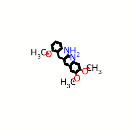 COc1ccccc1Cc1cc2cc(OC)c(OC)cc2nc1N